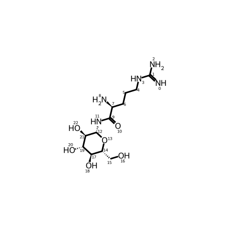 N=C(N)NCCC[C@H](N)C(=O)N[C@@H]1O[C@H](CO)[C@@H](O)[C@H](O)[C@H]1O